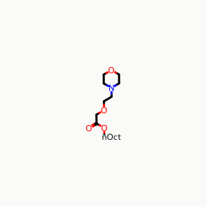 CCCCCCCCOC(=O)COCCN1CCOCC1